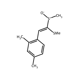 CS/C(=C\c1ccc(C)cc1C)[S+](C)[O-]